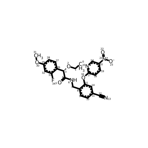 CCO[C@H](C(=O)NCc1ccc(C#N)cc1Oc1ccc([N+](=O)[O-])cn1)c1ccc(OC)cc1F